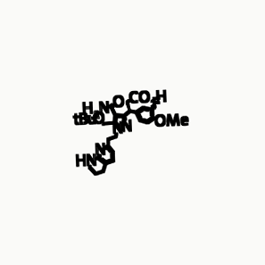 COc1ccc([C@H](CC(=O)O)c2nn(CCc3ccc4c(n3)NCCC4)c(COC(C)(C)C)c2C(N)=O)cc1F